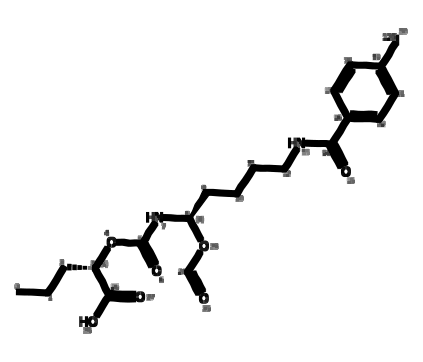 CCC[C@H](OC(=O)N[C@@H](CCCCNC(=O)c1ccc([125I])cc1)OC=O)C(=O)O